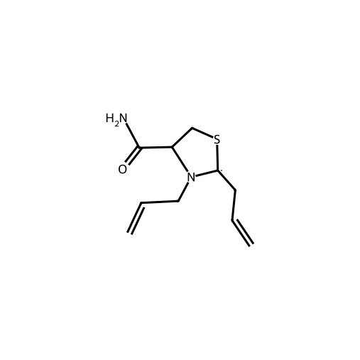 C=CC[C]1SCC(C(N)=O)N1CC=C